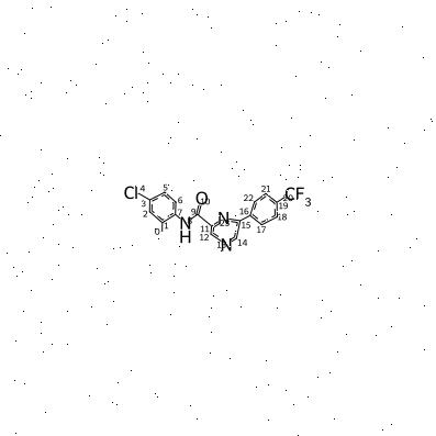 Cc1cc(Cl)ccc1NC(=O)c1cncc(-c2ccc(C(F)(F)F)cc2)n1